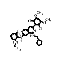 C=CNc1cccc(C)c1Nc1cc2c(NCC3CCCC3)nc(-c3c(Cl)c(OC)cc(OC)c3Cl)cc2cn1